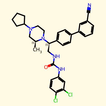 C[C@H]1CN(C2CCCC2)CCN1[C@H](CNC(=O)Nc1ccc(Cl)c(Cl)c1)c1ccc(-c2cccc(C#N)c2)cc1